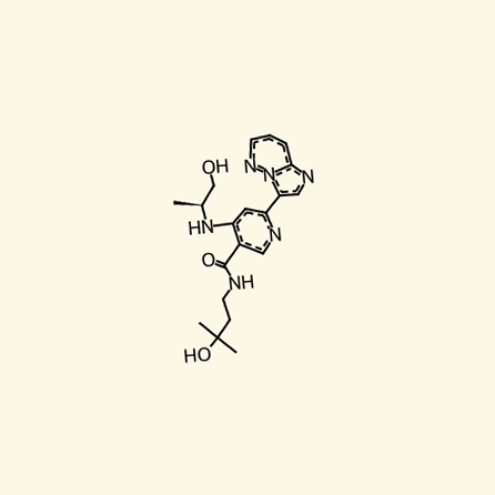 C[C@@H](CO)Nc1cc(-c2cnc3cccnn23)ncc1C(=O)NCCC(C)(C)O